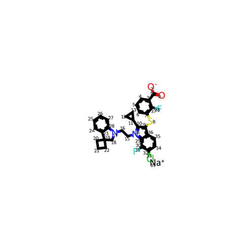 O=C([O-])c1cccc(Sc2c(C3CC3)n(CCN3CC4(CCC4)c4ccccc43)c3c(F)c(Cl)ccc23)c1F.[Na+]